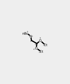 CCCC[N]CC(OCC)OCC